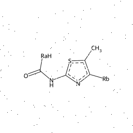 Cc1sc(N[C](=O)[RaH])n[c]1[Rb]